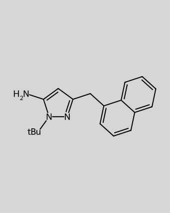 CC(C)(C)n1nc(Cc2cccc3ccccc23)cc1N